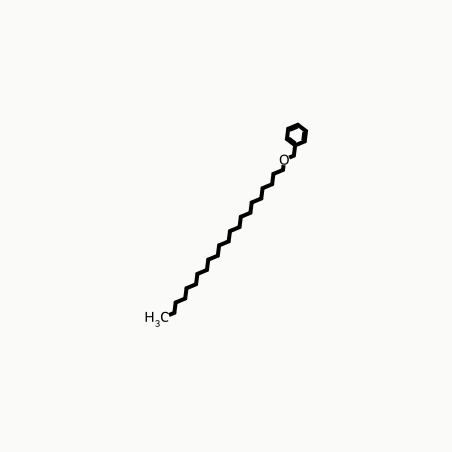 CCCCCCCCCCCCCCCCCCCCCCOCc1ccccc1